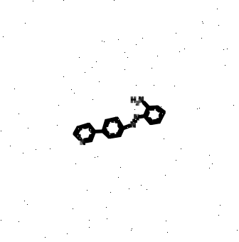 Nc1ccccc1N=Nc1ccc(-c2cccnc2)cc1